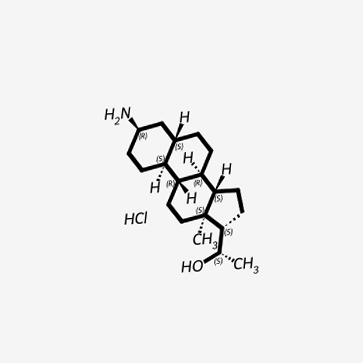 C[C@H](O)[C@H]1CC[C@H]2[C@@H]3CC[C@H]4C[C@H](N)CC[C@@H]4[C@H]3CC[C@]12C.Cl